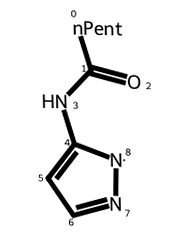 CCCCCC(=O)NC1=CC=N[N]1